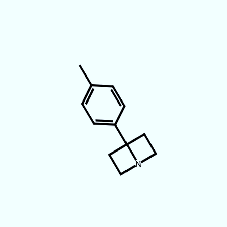 Cc1ccc(C23CCN2CC3)cc1